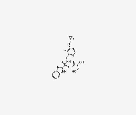 C=CC.Cc1c(OCC(F)(F)F)ccnc1CNS(=O)(=O)c1nc2ccccc2[nH]1.OCCO